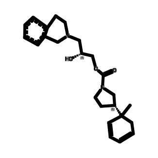 CC1([C@@H]2CCN(C(=O)OC[C@H](O)CN3CCc4ccccc4C3)C2)C=CC=CC1